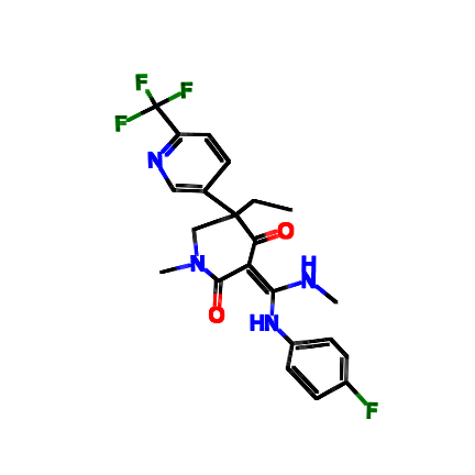 CCC1(c2ccc(C(F)(F)F)nc2)CN(C)C(=O)C(=C(NC)Nc2ccc(F)cc2)C1=O